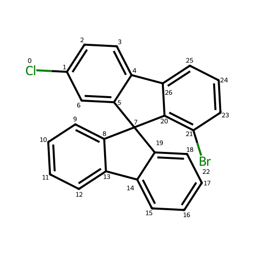 Clc1ccc2c(c1)C1(c3ccccc3-c3ccccc31)c1c(Br)cccc1-2